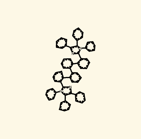 c1ccc(-c2nc(-c3ccccc3-c3ccccc3-c3ccccc3-c3ccccc3-c3nc(-c4ccccc4)c(-c4ccccc4)n3-c3ccccc3)n(-c3ccccc3)c2-c2ccccc2)cc1